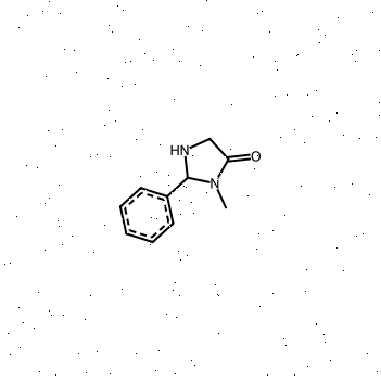 CN1C(=O)CNC1c1ccccc1